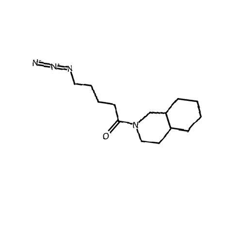 [N-]=[N+]=NCCCCC(=O)N1CCC2CCCCC2C1